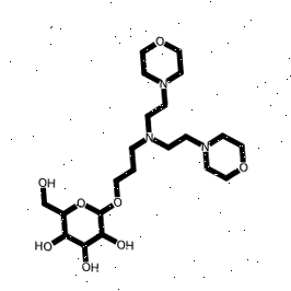 OCC1OC(OCCCN(CCN2CCOCC2)CCN2CCOCC2)C(O)C(O)C1O